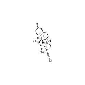 CC[C@]12C[C@H](Cl)[C@H]3[C@@H](CCC4=CC(=O)CC[C@@H]43)[C@@H]1CC[C@@]2(O)C#CCl